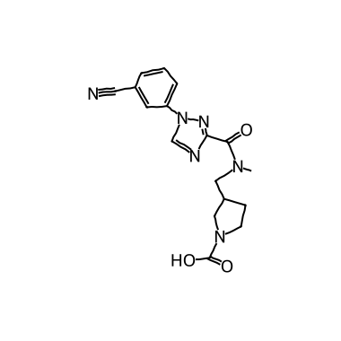 CN(CC1CCN(C(=O)O)C1)C(=O)c1ncn(-c2cccc(C#N)c2)n1